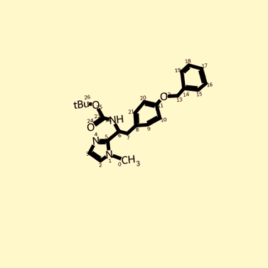 Cn1ccnc1C(Cc1ccc(OCc2ccccc2)cc1)NC(=O)OC(C)(C)C